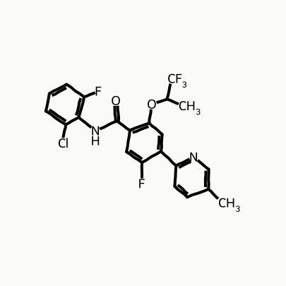 Cc1ccc(-c2cc(OC(C)C(F)(F)F)c(C(=O)Nc3c(F)cccc3Cl)cc2F)nc1